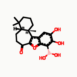 CC1(C)CCC[C@@]2(C)c3c(oc4c(B(O)O)c(O)c(O)cc34)C(=O)CC[C@H]12